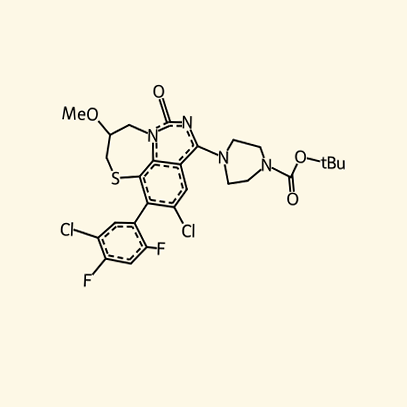 COC1CSc2c(-c3cc(Cl)c(F)cc3F)c(Cl)cc3c(N4CCN(C(=O)OC(C)(C)C)CC4)nc(=O)n(c23)C1